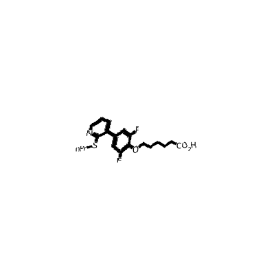 CCCSc1ncccc1-c1cc(F)c(OCCCCCC(=O)O)c(F)c1